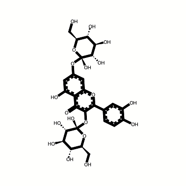 O=c1c(O[C@]2(O)O[C@@H](CO)[C@H](O)[C@@H](O)[C@@H]2O)c(-c2ccc(O)c(O)c2)oc2cc(O[C@]3(O)O[C@@H](CO)[C@H](O)[C@@H](O)[C@@H]3O)cc(O)c12